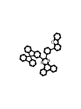 c1cc(-c2nc3c4ccccc4c4ccccc4c3nc2-c2ccc3c(c2)C2(c4ccccc4-c4ccccc42)c2ccccc2-3)cc(-c2cccc3c2oc2ccccc23)c1